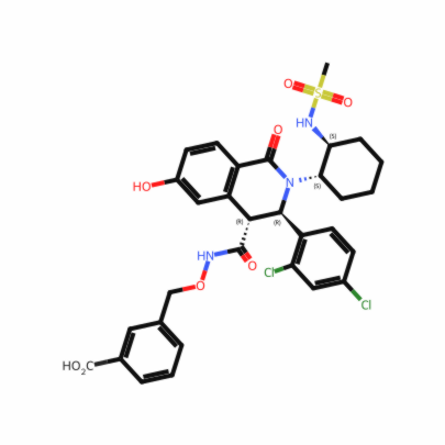 CS(=O)(=O)N[C@H]1CCCC[C@@H]1N1C(=O)c2ccc(O)cc2[C@@H](C(=O)NOCc2cccc(C(=O)O)c2)[C@@H]1c1ccc(Cl)cc1Cl